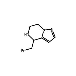 CC(C)CC1NCCn2nccc21